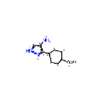 COC1CCC(c2n[nH]cc2N)CC1